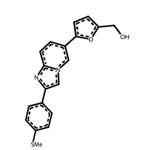 CSc1ccc(-c2cn3cc(-c4ccc(CO)o4)ccc3n2)cc1